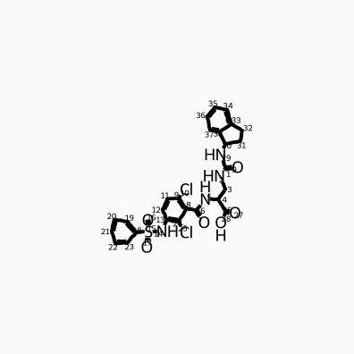 O=C(NCC(NC(=O)c1c(Cl)ccc(NS(=O)(=O)c2ccccc2)c1Cl)C(=O)O)NC1CCc2ccccc21